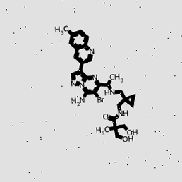 Cc1ccc2ncc(-c3cnn4c(N)c(Br)c(C(C)NCC5(CNC(=O)C(C)(CO)CO)CC5)nc34)cc2c1